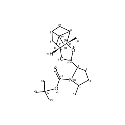 CC1CCC(B2O[C@@H]3CC4CC(C4(C)C)[C@]3(C)O2)N1C(=O)OC(C)(C)C